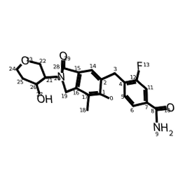 Cc1c(Cc2ccc(C(N)=O)cc2F)cc2c(c1C)CN(C1COCCC1O)C2=O